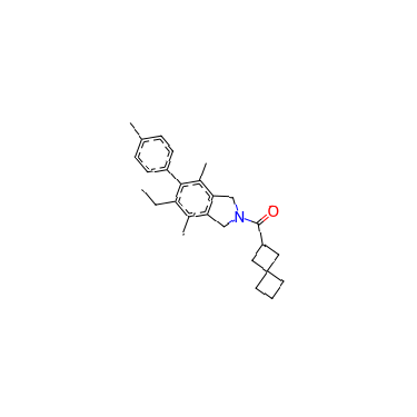 CCc1c(C)c2c(c(C)c1-c1ccc(C)cc1)CN(C(=O)C1CC3(CCC3)C1)C2